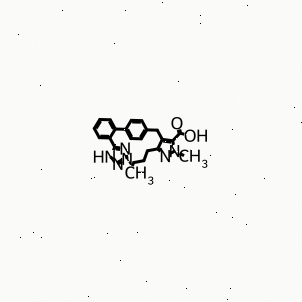 CCCCc1nn(C)c(C(=O)O)c1Cc1ccc(-c2ccccc2-c2nnn[nH]2)cc1